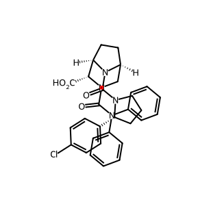 O=C(O)[C@@H]1[C@H]2CC[C@@H](CN1C(=O)N(c1ccccc1)c1ccccc1)N2C(=O)N1CCC[C@@H]1c1ccc(Cl)cc1